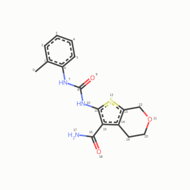 Cc1ccccc1NC(=O)Nc1sc2c(c1C(N)=O)CCOC2